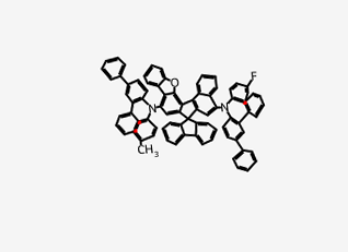 Cc1ccc(N(c2ccc(-c3ccccc3)cc2-c2ccccc2)c2cc3c(c4oc5ccccc5c24)-c2c(cc(N(c4ccc(F)cc4)c4ccc(-c5ccccc5)cc4-c4ccccc4)c4ccccc24)C32c3ccccc3-c3ccccc32)cc1